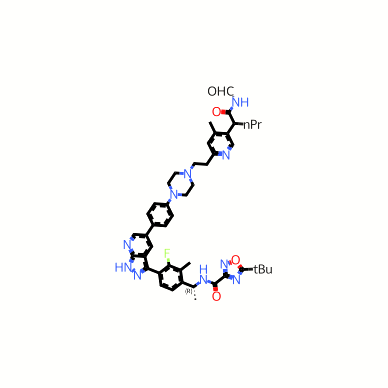 CCCC(C(=O)NC=O)c1cnc(CCN2CCN(c3ccc(-c4cnc5[nH]nc(-c6ccc([C@@H](C)NC(=O)c7noc(C(C)(C)C)n7)c(C)c6F)c5c4)cc3)CC2)cc1C